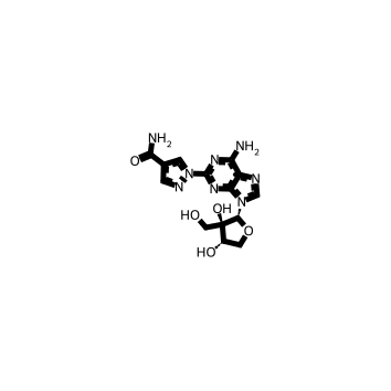 NC(=O)c1cnn(-c2nc(N)c3ncn([C@@H]4OC[C@H](O)[C@]4(O)CO)c3n2)c1